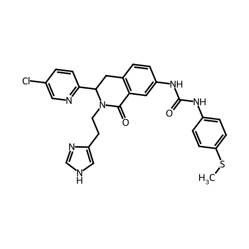 CSc1ccc(NC(=O)Nc2ccc3c(c2)C(=O)N(CCc2c[nH]cn2)C(c2ccc(Cl)cn2)C3)cc1